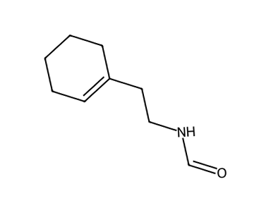 O=CNCCC1=CCCCC1